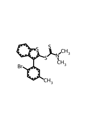 Cc1ccc(Br)c(-c2c(SC(=S)N(C)C)sc3ccccc23)c1